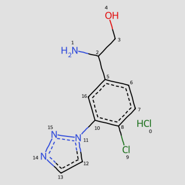 Cl.NC(CO)c1ccc(Cl)c(-n2ccnn2)c1